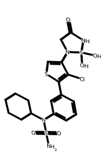 NS(=O)(=O)N(c1cccc(-c2scc(N3CC(=O)NS3(O)O)c2Cl)c1)C1CCCCC1